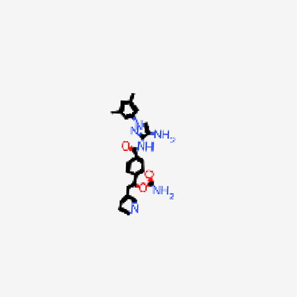 Cc1cc(C)cc(-n2cc(N)c(NC(=O)c3ccc(C(Cc4cccnc4)OC(N)=O)cc3)n2)c1